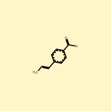 CC=Cc1ccc(C(=O)CC)cc1